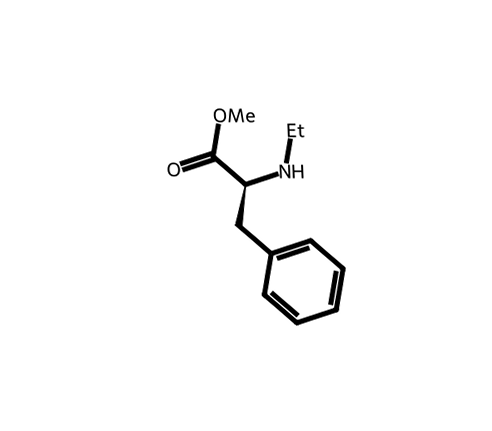 CCN[C@@H](Cc1ccccc1)C(=O)OC